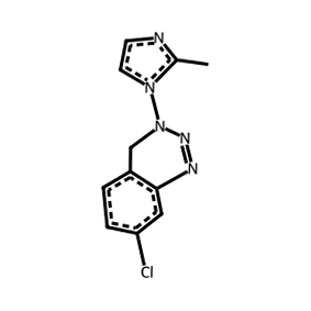 Cc1nccn1N1Cc2ccc(Cl)cc2N=N1